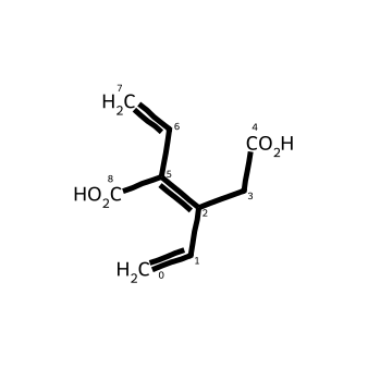 C=CC(CC(=O)O)=C(C=C)C(=O)O